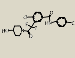 O=C(Nc1ccc(Cl)cc1)c1ccc(Cl)c(C(F)(F)C(=O)N2CCC(O)CC2)c1